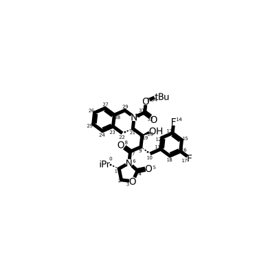 CC(C)[C@H]1COC(=O)N1C(=O)[C@@H](Cc1cc(F)cc(F)c1)[C@H](O)[C@@H]1Cc2ccccc2CN1C(=O)OC(C)(C)C